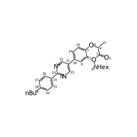 CCCCCCOC(=O)C(C)Oc1ccc(-c2cnc(-c3ccc(CCCC)cc3)nc2)cc1